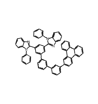 c1ccc(-n2c(-c3cc(-c4cccc(-c5cccc(-c6ccc7c8ccccc8c8ccccc8c7c6)c5)c4)cc(-c4nc5ccccc5n4-c4ccccc4)c3)nc3ccccc32)cc1